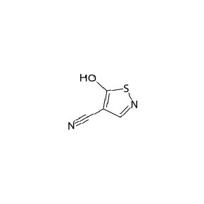 N#Cc1cnsc1O